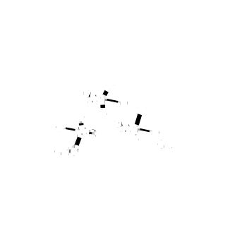 [Gd+3].[Gd+3].[O]=[Mn](=[O])([O-])[O-].[O]=[Mn](=[O])([O-])[O-].[O]=[Mn](=[O])([O-])[O-]